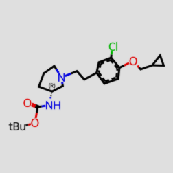 CC(C)(C)OC(=O)N[C@@H]1CCCN(CCc2ccc(OCC3CC3)c(Cl)c2)C1